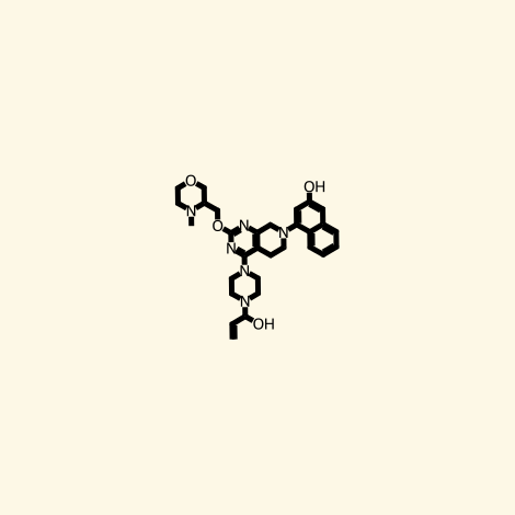 C=CC(O)N1CCN(c2nc(OCC3COCCN3C)nc3c2CCN(c2cc(O)cc4ccccc24)C3)CC1